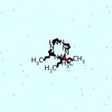 CCCCC1=Cc2nc1nc1c(CCCC)c(CCCC)c(nc3nc(nc4ccc(n2)[nH]4)C=C3)n1CCCC